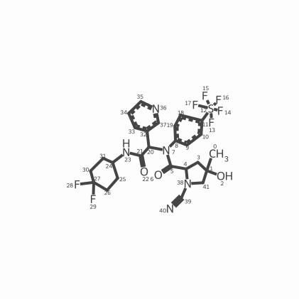 CC1(O)CC(C(=O)N(c2ccc(S(F)(F)(F)(F)F)cc2)C(C(=O)NC2CCC(F)(F)CC2)c2cccnc2)N(C#N)C1